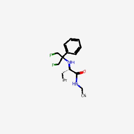 CC(C)C[C@H](NC(CF)(CF)c1ccccc1)C(=O)NCC#N